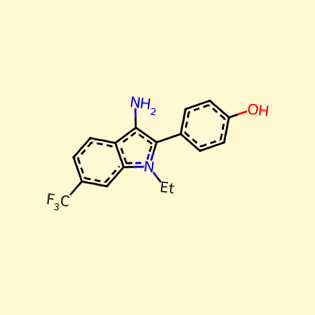 CCn1c(-c2ccc(O)cc2)c(N)c2ccc(C(F)(F)F)cc21